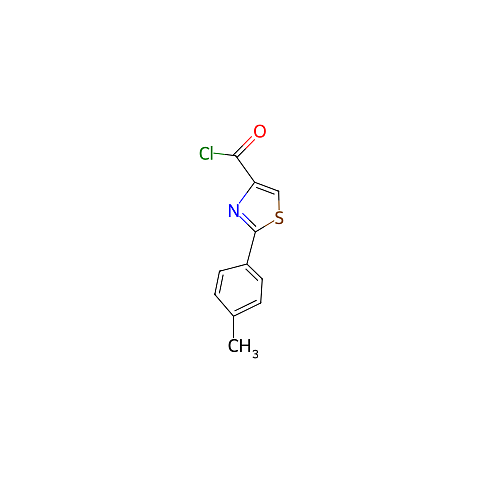 Cc1ccc(-c2nc(C(=O)Cl)cs2)cc1